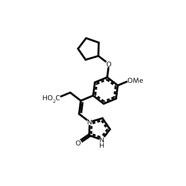 COc1ccc(/C(=C\n2cc[nH]c2=O)CC(=O)O)cc1OC1CCCC1